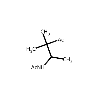 CC(=O)NC(C)C(C)(C)C(C)=O